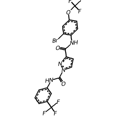 O=C(Nc1ccc(OC(F)(F)F)cc1Br)c1ccn(C(=O)Nc2cccc(C(F)(F)F)c2)n1